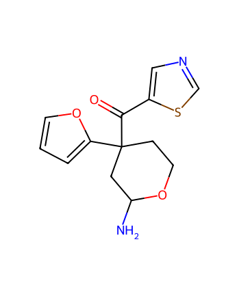 NC1CC(C(=O)c2cncs2)(c2ccco2)CCO1